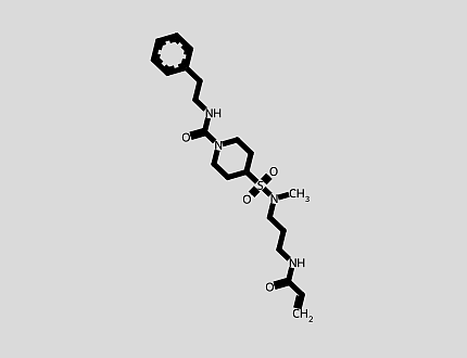 C=CC(=O)NCCCN(C)S(=O)(=O)C1CCN(C(=O)NCCc2ccccc2)CC1